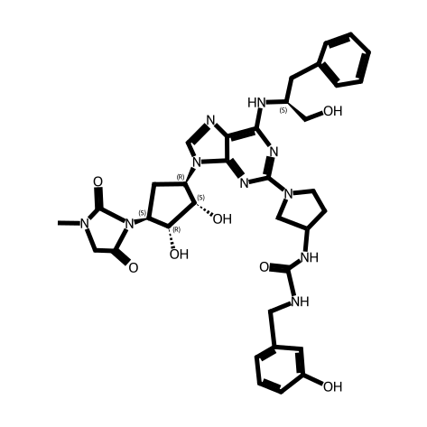 CN1CC(=O)N([C@H]2C[C@@H](n3cnc4c(N[C@H](CO)Cc5ccccc5)nc(N5CCC(NC(=O)NCc6cccc(O)c6)C5)nc43)[C@H](O)[C@@H]2O)C1=O